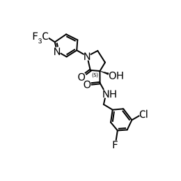 O=C(NCc1cc(F)cc(Cl)c1)[C@@]1(O)CCN(c2ccc(C(F)(F)F)nc2)C1=O